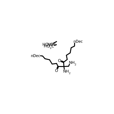 CC(=O)O.CC(=O)O.CCCCCCCCCCCCCCCC(=O)C(N)(CN)C(=O)CCCCCCCCCCCCCCC.[NaH]